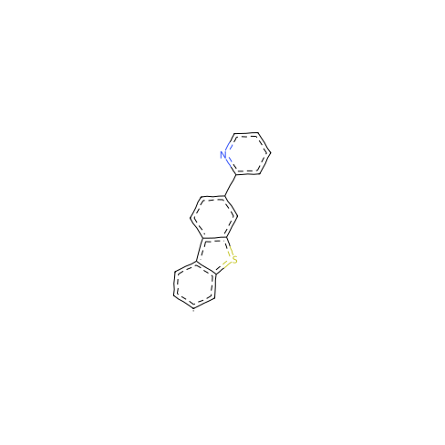 [c]1ccc2c(c1)sc1cc(-c3ccccn3)ccc12